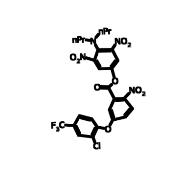 CCCN(CCC)c1c([N+](=O)[O-])cc(OC(=O)c2cc(Oc3ccc(C(F)(F)F)cc3Cl)ccc2[N+](=O)[O-])cc1[N+](=O)[O-]